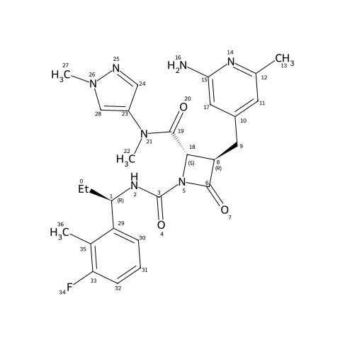 CC[C@@H](NC(=O)N1C(=O)[C@H](Cc2cc(C)nc(N)c2)[C@H]1C(=O)N(C)c1cnn(C)c1)c1cccc(F)c1C